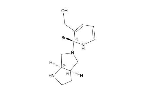 OCC1=CC=CN[C@]1(Br)N1C[C@H]2CCN[C@H]2C1